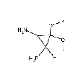 COC1(OC)C(N)C1(F)P